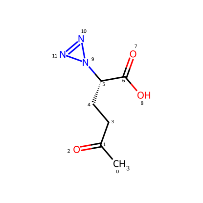 CC(=O)CC[C@@H](C(=O)O)N1N=N1